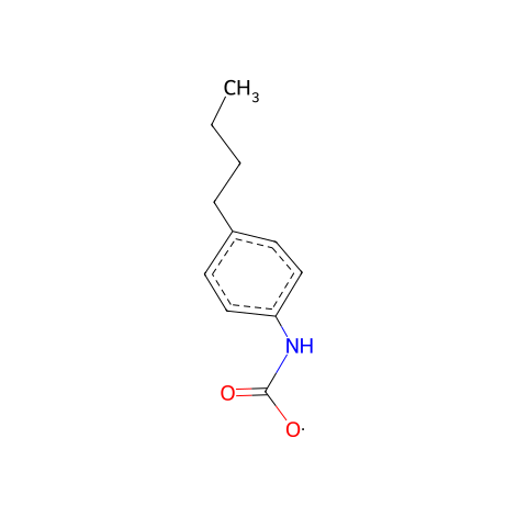 CCCCc1ccc(NC([O])=O)cc1